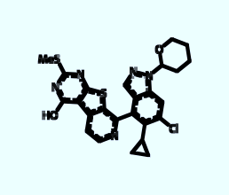 CSc1nc(O)c2c(n1)sc1c(-c3c(C4CC4)c(Cl)cc4c3cnn4C3CCCCO3)nccc12